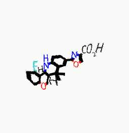 CC1(C)c2cc(-c3nc(C(=O)O)co3)ccc2N[C@@H]2c3c(F)cccc3OC[C@@H]21